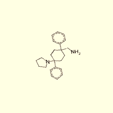 NCC1(c2ccccc2)CCC(c2ccccc2)(N2CCCC2)CC1